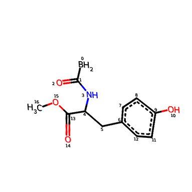 BC(=O)NC(Cc1ccc(O)cc1)C(=O)OC